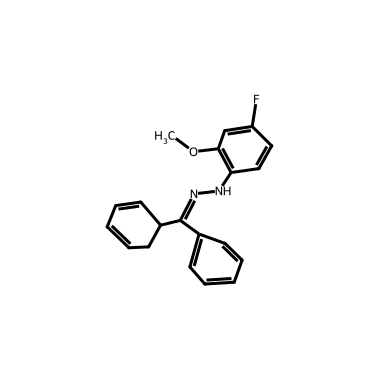 COc1cc(F)ccc1N/N=C(\c1ccccc1)C1C=CC=CC1